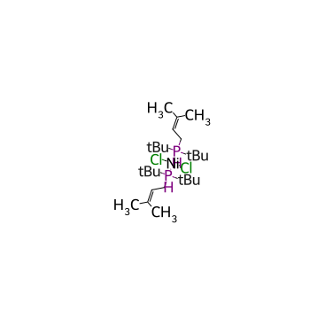 CC(C)=CC[PH](C(C)(C)C)(C(C)(C)C)[Ni]([Cl])([Cl])[PH](CC=C(C)C)(C(C)(C)C)C(C)(C)C